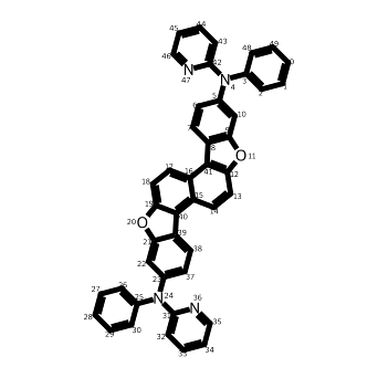 c1ccc(N(c2ccc3c(c2)oc2ccc4c(ccc5oc6cc(N(c7ccccc7)c7ccccn7)ccc6c54)c23)c2ccccn2)cc1